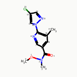 CON(C)C(=O)c1cnc(-n2cc(Cl)cn2)c(C)c1